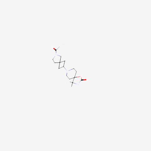 COC(=O)N1CCC2(CC(N3CCC4(CC3)OC(=O)NC4(C)C)C2)C1